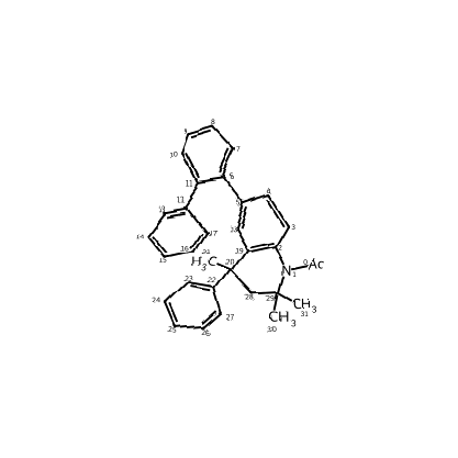 CC(=O)N1c2ccc(-c3ccccc3-c3ccccc3)cc2C(C)(c2ccccc2)CC1(C)C